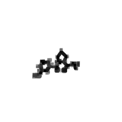 CNC(=O)C1CCCN1C(=O)c1cncc(O)c1